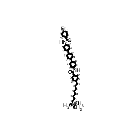 CCc1ccc(C(=O)Nc2ccc(-c3ccc(-c4ccc(NC(=O)c5ccc(CCCCCCCC[N+](C)(C)C)cc5)cc4)cc3)cc2)cc1